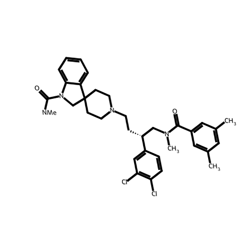 CNC(=O)N1CC2(CCN(CC[C@H](CN(C)C(=O)c3cc(C)cc(C)c3)c3ccc(Cl)c(Cl)c3)CC2)c2ccccc21